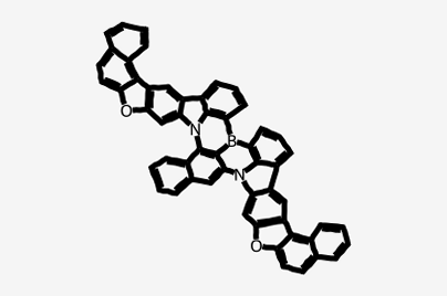 c1ccc2c3c4c(cc2c1)-n1c2cc5oc6ccc7ccccc7c6c5cc2c2cccc(c21)B4c1cccc2c4cc5c(cc4n-3c12)oc1ccc2ccccc2c15